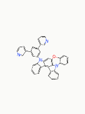 c1cncc(-c2cc(-c3cccnc3)cc(-n3c4ccccc4c4c5c6ccccc6n6c5c(cc43)Oc3ccccc3-6)c2)c1